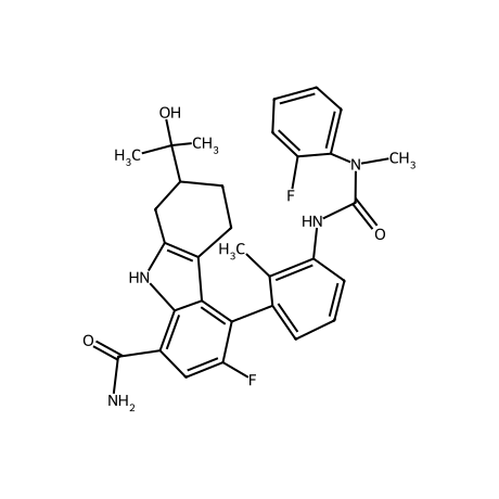 Cc1c(NC(=O)N(C)c2ccccc2F)cccc1-c1c(F)cc(C(N)=O)c2[nH]c3c(c12)CCC(C(C)(C)O)C3